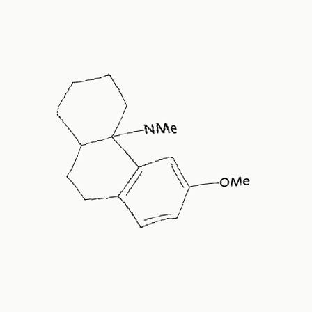 CNC12CCCCC1CCc1ccc(OC)cc12